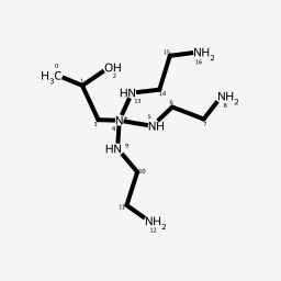 CC(O)C[N+](NCCN)(NCCN)NCCN